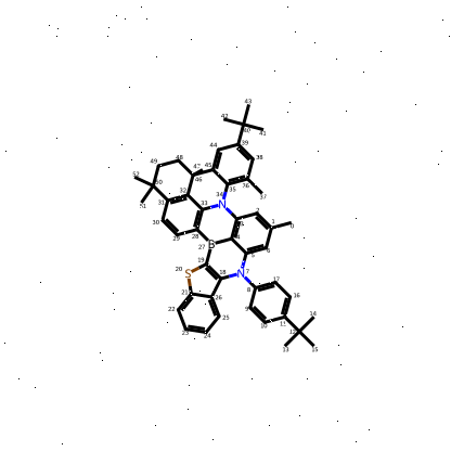 Cc1cc2c3c(c1)N(c1ccc(C(C)(C)C)cc1)c1c(sc4ccccc14)B3c1ccc3c4c1N2c1c(C)cc(C(C)(C)C)cc1C4(C)CCC3(C)C